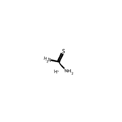 NC(N)=S.[H+]